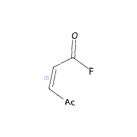 CC(=O)/C=C\C(=O)F